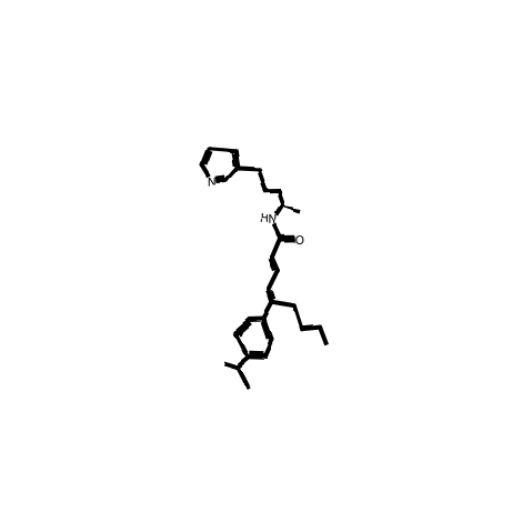 CCCC/C(=C\C=C\C(=O)N[C@H](C)CCCc1cccnc1)c1ccc(C(C)C)cc1